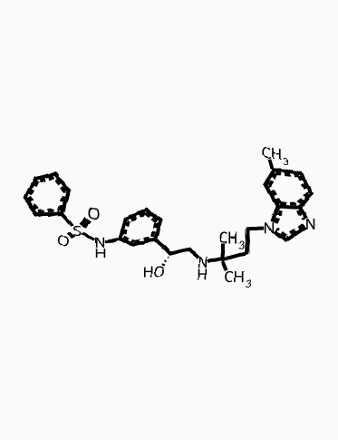 Cc1ccc2ncn(CCC(C)(C)NC[C@H](O)c3cccc(NS(=O)(=O)c4ccccc4)c3)c2c1